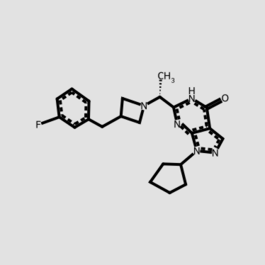 C[C@H](c1nc2c(cnn2C2CCCC2)c(=O)[nH]1)N1CC(Cc2cccc(F)c2)C1